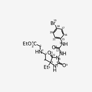 CCOC(=O)CNCCC1(CC)NC(=O)N(NC(=O)Nc2ccc(Br)cc2)C1=O